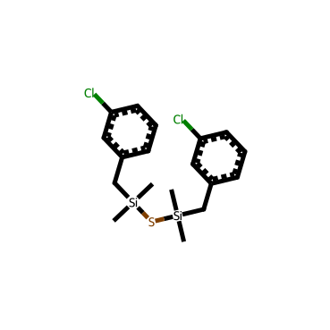 C[Si](C)(Cc1cccc(Cl)c1)S[Si](C)(C)Cc1cccc(Cl)c1